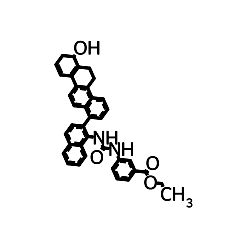 CCOC(=O)c1cccc(NC(=O)Nc2c(-c3cccc4c5c(ccc34)C3=C(CC5)C(O)CC=C3)ccc3ccccc23)c1